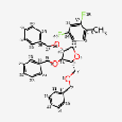 Cc1cc([C@@H]2O[C@H](COCc3ccccc3)C(OCc3ccccc3)[C@@H]2OCc2ccccc2)c(F)cc1F